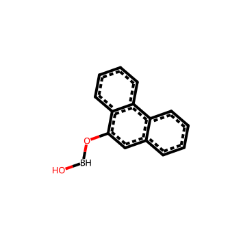 OBOc1cc2ccccc2c2ccccc12